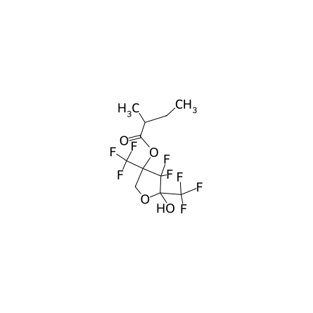 CCC(C)C(=O)OC1(C(F)(F)F)COC(O)(C(F)(F)F)C1(F)F